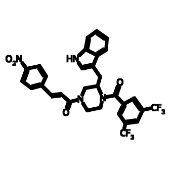 O=C(/C=C/c1ccc([N+](=O)[O-])cc1)N1CCN(C(=O)c2cc(C(F)(F)F)cc(C(F)(F)F)c2)C(Cc2c[nH]c3ccccc23)C1